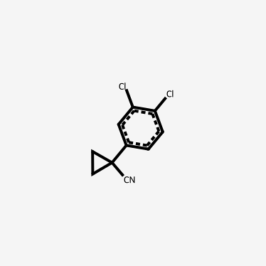 N#CC1(c2ccc(Cl)c(Cl)c2)CC1